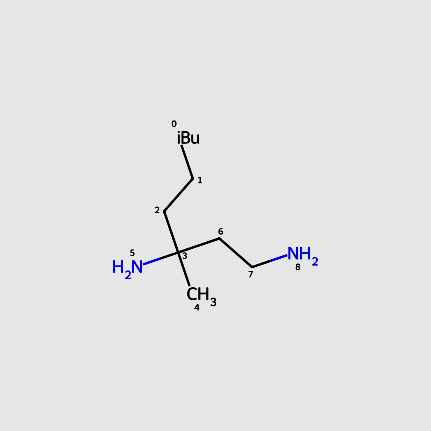 CCC(C)CCC(C)(N)CCN